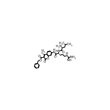 Cc1c(C(=O)OCc2ccccc2)c(=O)oc2cc(NC(=O)[C@H](CCCNC(=N)N)NC(=O)[C@@H](N)CC(C)C)ccc12